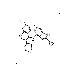 Cc1ccc2c(c1)OCC(N1CCOCC1)C2Nc1ncnc2[nH]c(C3CC3)cc12